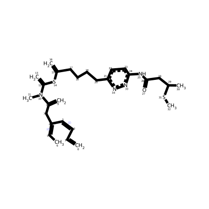 C=C/C=C\C(=C/C)CC(=C)N(C)C(=C)SC(=C)CCCCc1ccc(NC(=O)CC(C)SC)nn1